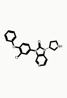 O=c1n(-c2ccc(Oc3ccccc3)c(Cl)c2)c2cnccc2n1[C@@H]1CCNC1